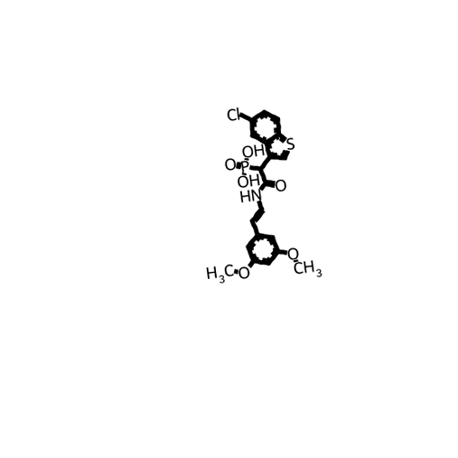 COc1cc(/C=C/NC(=O)C(c2csc3ccc(Cl)cc23)P(=O)(O)O)cc(OC)c1